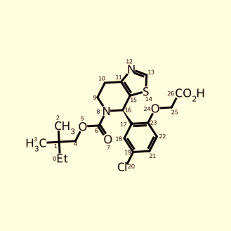 CCC(C)(C)COC(=O)N1CCc2ncsc2[C@H]1c1cc(Cl)ccc1OCC(=O)O